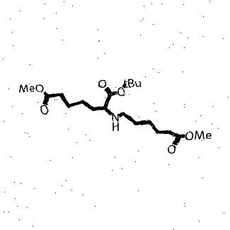 COC(=O)CCCCCNC(CCCCC(=O)OC)C(=O)OC(C)(C)C